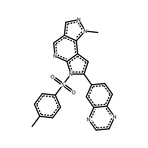 Cc1ccc(S(=O)(=O)n2c(-c3ccc4nccnc4c3)cc3c4c(cnc32)cnn4C)cc1